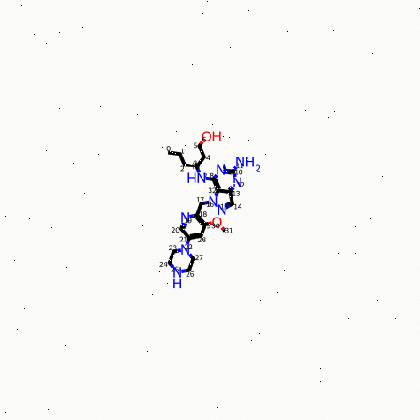 CCC[C@@H](CCO)Nc1nc(N)nc2cnn(Cc3ncc(N4CCNCC4)cc3OC)c12